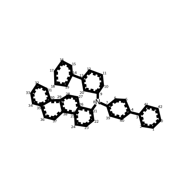 c1ccc(-c2ccc(N(c3cccc(-c4ccccc4)c3)c3cccc4c3ccc3c5ccccc5ccc43)cc2)cc1